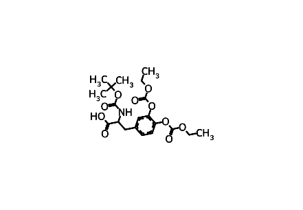 CCOC(=O)Oc1ccc(CC(NC(=O)OC(C)(C)C)C(=O)O)cc1OC(=O)OCC